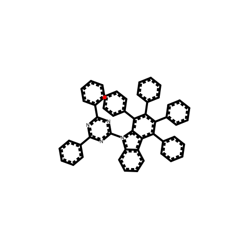 c1ccc(-c2nc(-c3ccccc3)nc(-n3c4ccccc4c4c(-c5ccccc5)c(-c5ccccc5)c(-c5ccccc5)c(-c5ccccc5)c43)n2)cc1